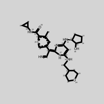 Cc1cc(/C(C=N)=C2\N=C(N[C@H]3CCCC3O)C=C(NCC3CCOCC3)N2)ccc1C(=O)NC1CC1